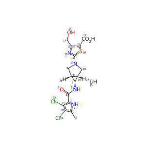 Cc1[nH]c(C(=O)N[C@H]2[C@@H]3CN(c4nc(CO)c(C(=O)O)s4)C[C@@H]32)c(Cl)c1Cl.[LiH]